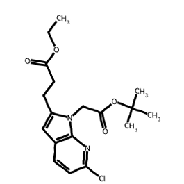 CCOC(=O)CCc1cc2ccc(Cl)nc2n1CC(=O)OC(C)(C)C